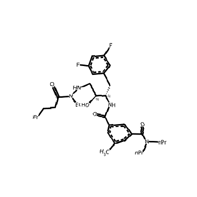 CCCN(CCC)C(=O)c1cc(C)cc(C(=O)N[C@@H](Cc2cc(F)cc(F)c2)[C@@H](O)CNN(CC)C(=O)CCC(C)C)c1